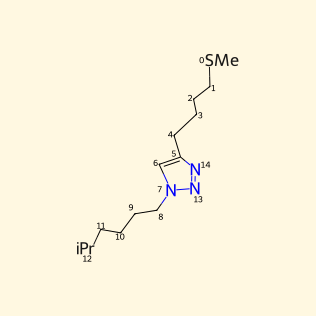 CSCCCCc1cn(CCCCC(C)C)nn1